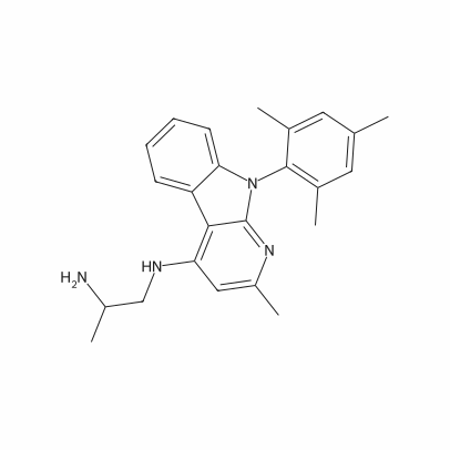 Cc1cc(C)c(-n2c3ccccc3c3c(NCC(C)N)cc(C)nc32)c(C)c1